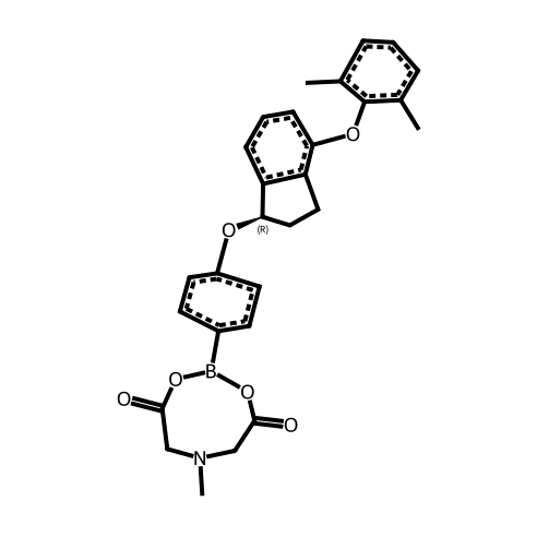 Cc1cccc(C)c1Oc1cccc2c1CC[C@H]2Oc1ccc(B2OC(=O)CN(C)CC(=O)O2)cc1